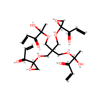 C=CC(=O)C(C)(O)OCC(COC(C)(O)C(=O)C=C)(COC1(C(=O)C=C)CO1)COC1(C(=O)C=C)CO1